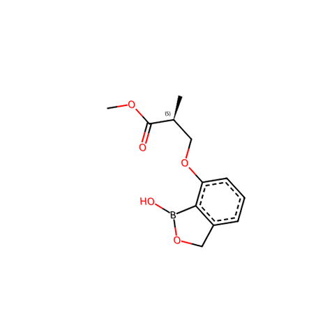 COC(=O)[C@@H](C)COc1cccc2c1B(O)OC2